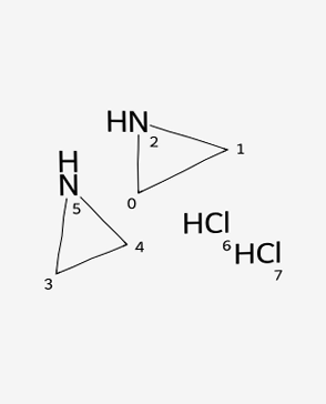 C1CN1.C1CN1.Cl.Cl